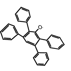 [O]c1c(-c2ccccc2)c(-c2ccccc2)cc(-c2ccccc2)c1-c1ccccc1